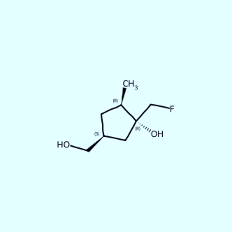 C[C@@H]1C[C@H](CO)C[C@]1(O)CF